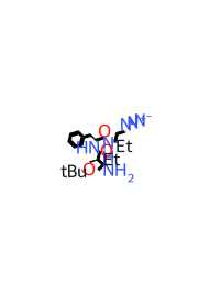 CCC(CCN=[N+]=[N-])NC(=O)[C@H](Cc1ccccc1)NC(=O)[C@H](COC(C)(C)C)C(C)(N)CC